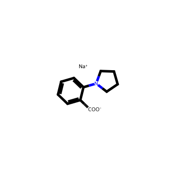 O=C([O-])c1ccccc1N1CCCC1.[Na+]